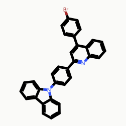 Brc1ccc(-c2cc(-c3ccc(-n4c5ccccc5c5ccccc54)cc3)nc3ccccc23)cc1